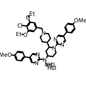 CCOc1cc(CN2CCC(C3CC(N(N)c4ncc(-c5ccc(OC)cc5)cn4)CCN3c3ncc(-c4ccc(OC)cc4)cn3)CC2)cc(OCC)c1Cl.Cl.Cl